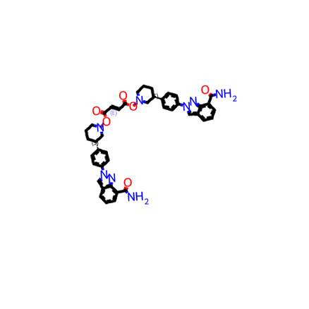 NC(=O)c1cccc2cn(-c3ccc([C@@H]4CCCN(OC(=O)/C=C/C(=O)ON5CCC[C@@H](c6ccc(-n7cc8cccc(C(N)=O)c8n7)cc6)C5)C4)cc3)nc12